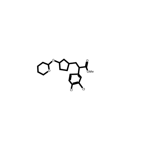 COC(=O)C(CC1CCC(OC2CCCCO2)C1)c1ccc(Cl)c(Cl)c1